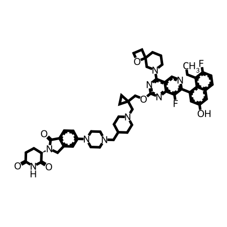 CCc1c(F)ccc2cc(O)cc(-c3ncc4c(N5CCCC6(CCO6)C5)nc(OCC5(CN6CCC(CN7CCN(c8ccc9c(c8)CN([C@H]8CCC(=O)NC8=O)C9=O)CC7)CC6)CC5)nc4c3F)c12